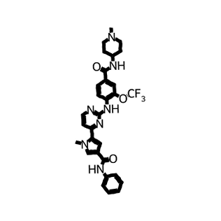 CN1CCC(NC(=O)c2ccc(Nc3nccc(-c4cc(C(=O)Nc5ccccc5)cn4C)n3)c(OC(F)(F)F)c2)CC1